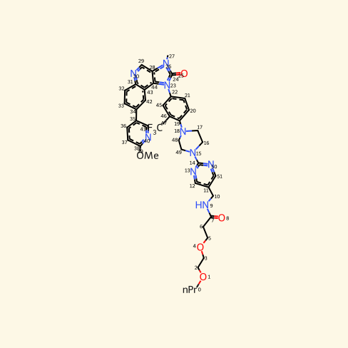 CCCOCCOCCC(=O)NCc1cnc(N2CCN(c3ccc(-n4c(=O)n(C)c5cnc6ccc(-c7ccc(OC)nc7)cc6c54)cc3C(F)(F)F)CC2)nc1